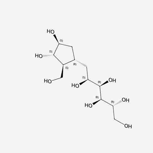 OC[C@@H]1[C@@H](C[C@H](O)[C@@H](O)[C@H](O)[C@H](O)CO)C[C@H](O)[C@H]1O